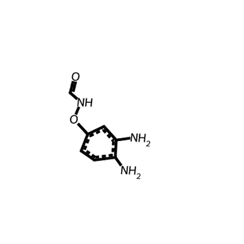 Nc1ccc(ONC=O)cc1N